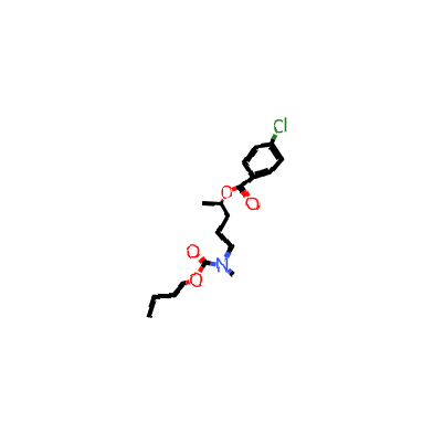 CCCCOC(=O)N(C)CCCC(C)OC(=O)c1ccc(Cl)cc1